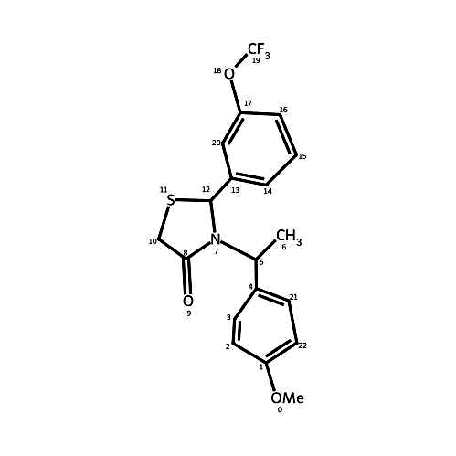 COc1ccc(C(C)N2C(=O)CSC2c2cccc(OC(F)(F)F)c2)cc1